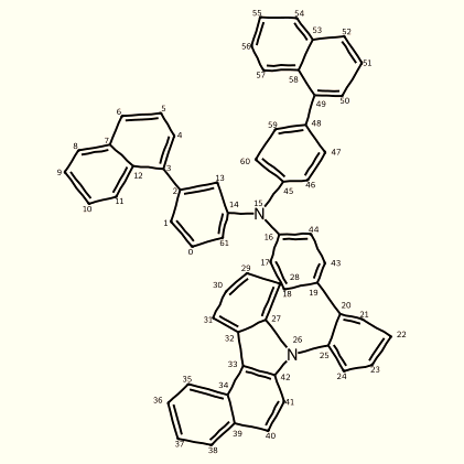 c1cc(-c2cccc3ccccc23)cc(N(c2ccc(-c3ccccc3-n3c4ccccc4c4c5ccccc5ccc43)cc2)c2ccc(-c3cccc4ccccc34)cc2)c1